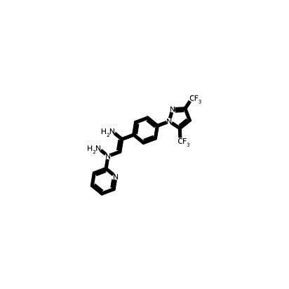 N/C(=C\N(N)c1ccccn1)c1ccc(-n2nc(C(F)(F)F)cc2C(F)(F)F)cc1